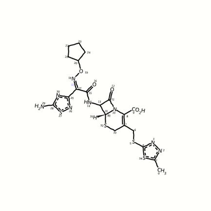 Cc1nnc(SCC2=C(C(=O)O)N3C(=O)C(NC(=O)/C(=N\OC4CCCC4)c4nsc(N)n4)[C@H]3SC2)s1